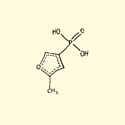 Cc1cc(P(=O)(O)O)co1